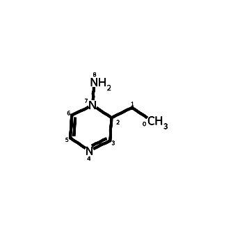 CCC1C=NC=CN1N